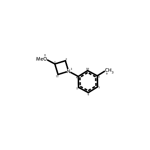 COC1CN(c2cccc(C)c2)C1